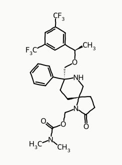 C[C@@H](OC[C@@]1(c2ccccc2)CC[C@]2(CCC(=O)N2COC(=O)N(C)C)CN1)c1cc(C(F)(F)F)cc(C(F)(F)F)c1